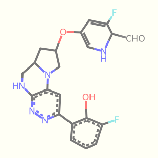 O=CC1NC=C(OC2CC3CNc4nnc(-c5cccc(F)c5O)cc4N3C2)C=C1F